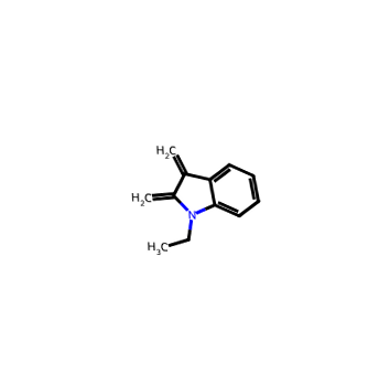 C=c1c(=C)n(CC)c2ccccc12